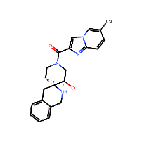 N#Cc1ccc2nc(C(=O)N3CC[C@]4(Cc5ccccc5CN4)[C@H](O)C3)cn2c1